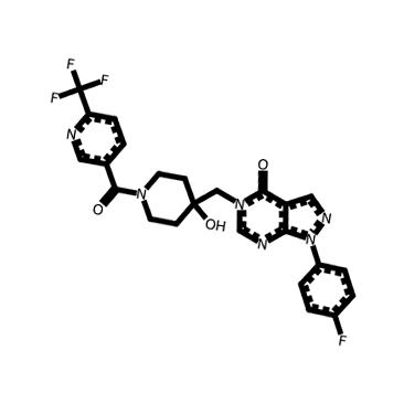 O=C(c1ccc(C(F)(F)F)nc1)N1CCC(O)(Cn2cnc3c(cnn3-c3ccc(F)cc3)c2=O)CC1